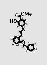 COC(=O)c1ccc(C=CCc2ccccc2OCc2ccccc2)cc1O